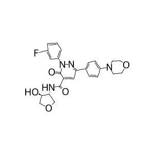 O=C(N[C@@H]1COC[C@H]1O)c1cc(-c2ccc(N3CCOCC3)cc2)nn(-c2cccc(F)c2)c1=O